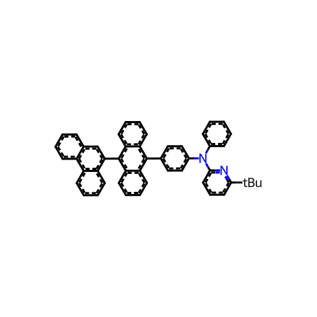 CC(C)(C)c1cccc(N(c2ccccc2)c2ccc(-c3c4ccccc4c(-c4cc5ccccc5c5ccccc45)c4ccccc34)cc2)n1